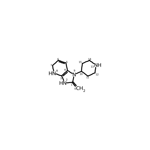 C=C1NC2=C(C=CCN2)N1C1CCNCC1